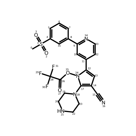 CS(=O)(=O)c1cccc(-c2cc(-c3cc(C#N)c(N4CCNCC4)n3OC(=O)C(F)(F)F)ccn2)c1